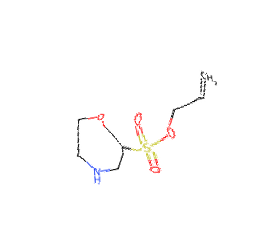 C=CCOS(=O)(=O)C1CNCCO1